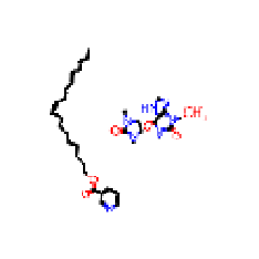 CCCCCCCC/C=C\CCCCCCCCOC(=O)c1cccnc1.CN1CCN(C)C1=O.Cn1c(=O)c2[nH]cnc2n(C)c1=O.O